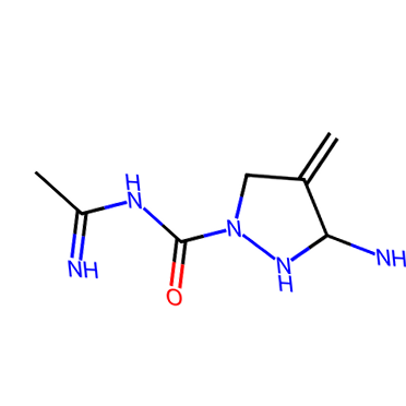 C=C1CN(C(=O)NC(C)=N)NC1N